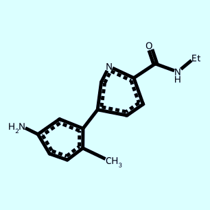 CCNC(=O)c1ccc(-c2cc(N)ccc2C)cn1